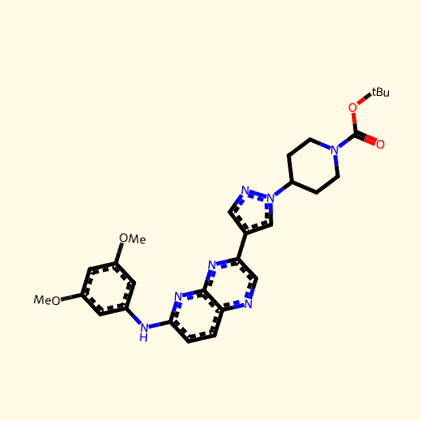 COc1cc(Nc2ccc3ncc(-c4cnn(C5CCN(C(=O)OC(C)(C)C)CC5)c4)nc3n2)cc(OC)c1